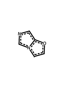 [c]1coc2cncn12